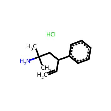 C=CC(CC(C)(C)N)c1ccccc1.Cl